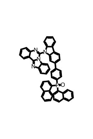 O=P(c1ccc(-c2ccc3c4ccccc4n(-c4nc5ccccc5c5nc6ccccc6n45)c3c2)cc1)(c1cccc2ccccc12)c1cccc2ccccc12